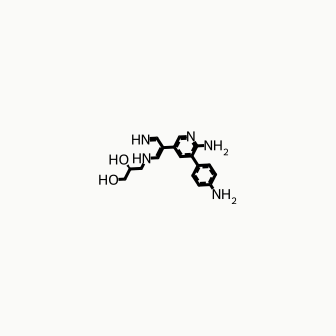 N=C/C(=C\NC[C@H](O)CO)c1cnc(N)c(-c2ccc(N)cc2)c1